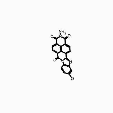 NN1C(=O)c2ccc3c(=O)n4c5ccc(Cl)cc5nc4c4ccc(c2c34)C1=O